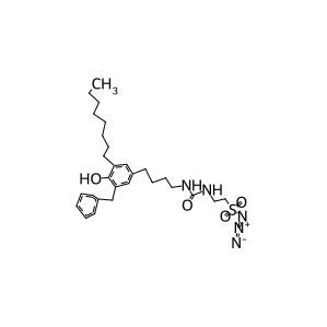 CCCCCCCCc1cc(CCCCNC(=O)NCCS(=O)(=O)N=[N+]=[N-])cc(Cc2ccccc2)c1O